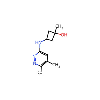 [2H]c1nnc(NC2CC(C)(O)C2)cc1C